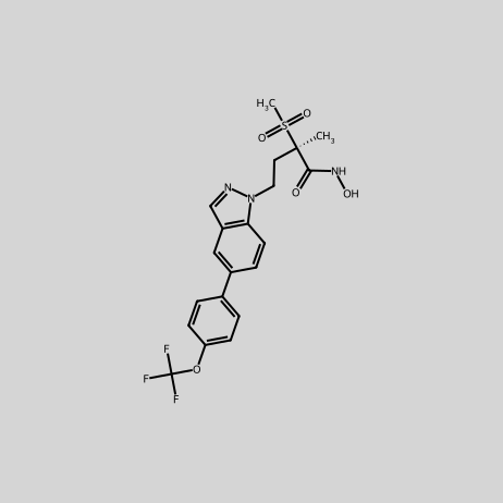 C[C@@](CCn1ncc2cc(-c3ccc(OC(F)(F)F)cc3)ccc21)(C(=O)NO)S(C)(=O)=O